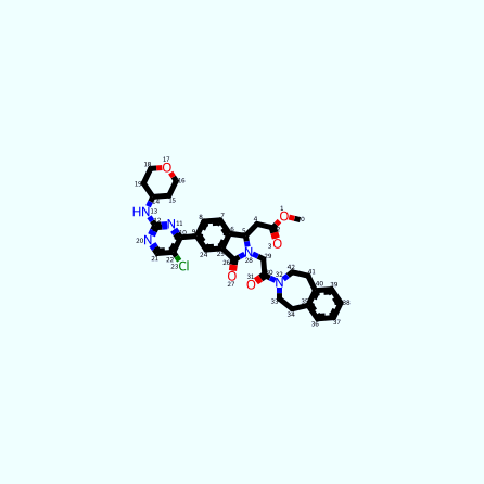 COC(=O)CC1c2ccc(-c3nc(NC4CCOCC4)ncc3Cl)cc2C(=O)N1CC(=O)N1CCc2ccccc2CC1